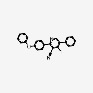 N#Cc1c(-c2ccc(Oc3ccccc3)cc2)ncc(-c2ccccc2)c1I